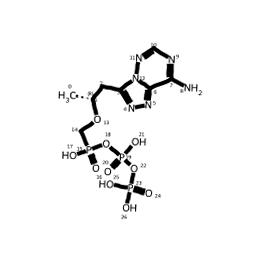 C[C@H](Cc1nnc2c(N)ncnn12)OCP(=O)(O)OP(=O)(O)OP(=O)(O)O